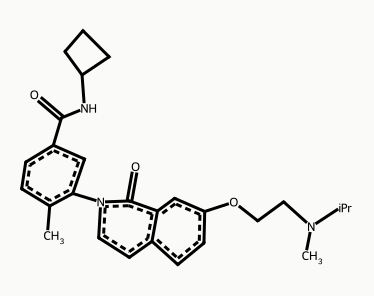 Cc1ccc(C(=O)NC2CCC2)cc1-n1ccc2ccc(OCCN(C)C(C)C)cc2c1=O